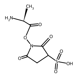 C[C@H](N)C(=O)ON1C(=O)CC(S(=O)(=O)O)C1=O